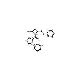 O=C1CC(CSc2ncccn2)N1C(=O)N1CCC[C@@H]1c1ccccc1